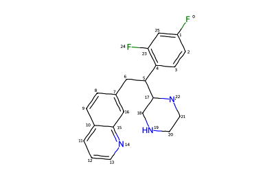 Fc1ccc(C(Cc2ccc3cccnc3c2)C2CNCC[N]2)c(F)c1